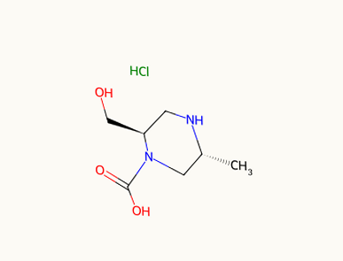 C[C@@H]1CN(C(=O)O)[C@@H](CO)CN1.Cl